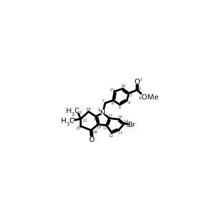 COC(=O)c1ccc(Cn2c3c(c4ccc(Br)cc42)C(=O)CC(C)(C)C3)cc1